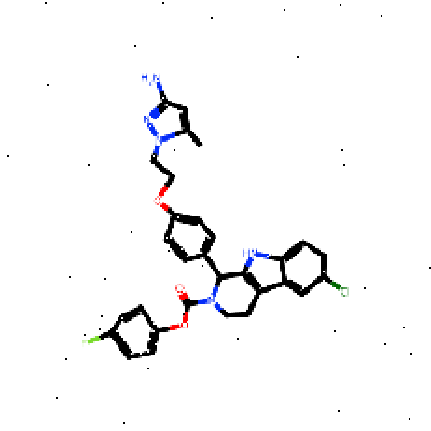 Cc1cc(N)nn1CCOc1ccc(C2c3[nH]c4c(c3CCN2C(=O)Oc2ccc(F)cc2)=CC(Cl)CC=4)cc1